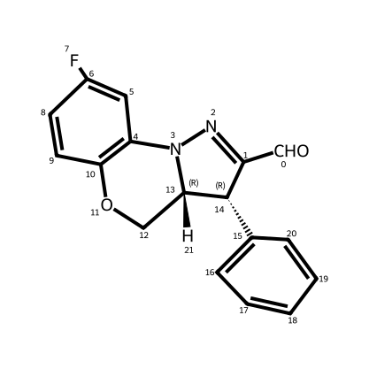 O=CC1=NN2c3cc(F)ccc3OC[C@H]2[C@H]1c1ccccc1